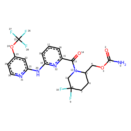 NC(=O)OCC1CCC(F)(F)CN1C(=O)c1cccc(Nc2cc(OC(F)(F)F)ccn2)n1